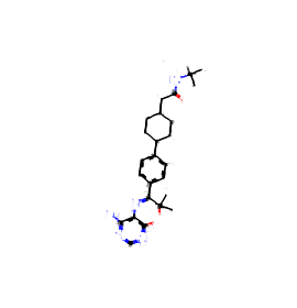 CC(C)(NC(=O)CC1CCC(c2ccc(C3=Nc4c(N)ncnc4OC3(C)C)cc2)CC1)C(=O)O